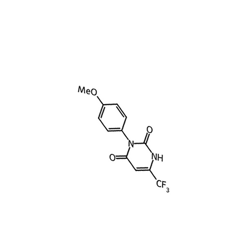 COc1ccc(-n2c(=O)cc(C(F)(F)F)[nH]c2=O)cc1